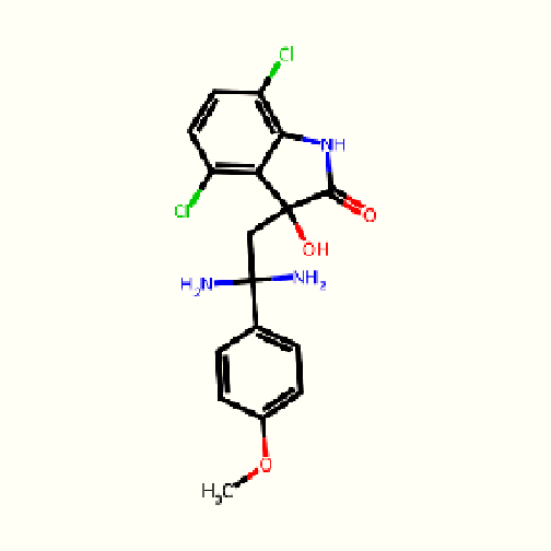 COc1ccc(C(N)(N)CC2(O)C(=O)Nc3c(Cl)ccc(Cl)c32)cc1